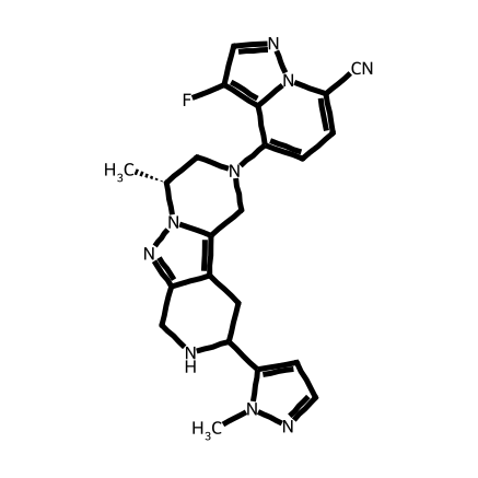 C[C@@H]1CN(c2ccc(C#N)n3ncc(F)c23)Cc2c3c(nn21)CNC(c1ccnn1C)C3